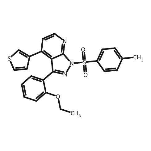 CCOc1ccccc1-c1nn(S(=O)(=O)c2ccc(C)cc2)c2nccc(-c3ccsc3)c12